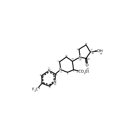 CCOC(=O)C1CN(c2ncc(C(F)(F)F)cn2)CCC1N1CC[C@@H](O)C1=O